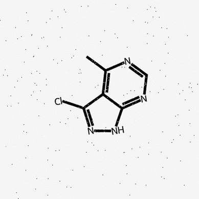 Cc1ncnc2[nH]nc(Cl)c12